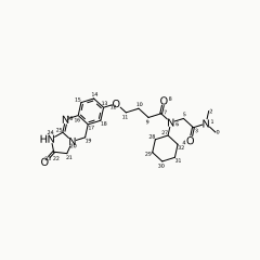 CN(C)C(=O)CN(C(=O)CCCOc1ccc2c(c1)CN1CC(=O)NC1=N2)C1CCCCC1